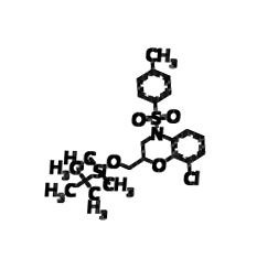 Cc1ccc(S(=O)(=O)N2CC(CO[Si](C)(C)C(C)(C)C)Oc3c(Cl)cccc32)cc1